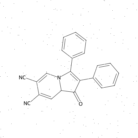 N#CC1=[C]N2C(c3ccccc3)=C(c3ccccc3)C(=O)C2C=C1C#N